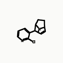 CN1C2C=CC(c3cccnc3Cl)C1CC2